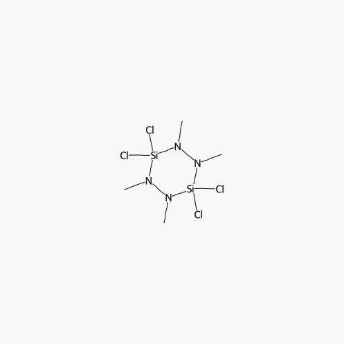 CN1N(C)[Si](Cl)(Cl)N(C)N(C)[Si]1(Cl)Cl